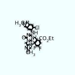 CCOC(=O)c1cc(F)c(F)cc1Cn1c(Nc2cc3cn(C)nc3cc2Cl)nc(=O)n(Cc2ncn(C)n2)c1=O